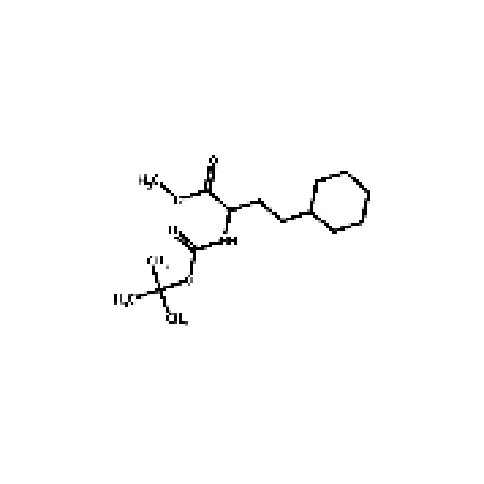 COC(=O)C(CCC1CCCCC1)NC(=O)OC(C)(C)C